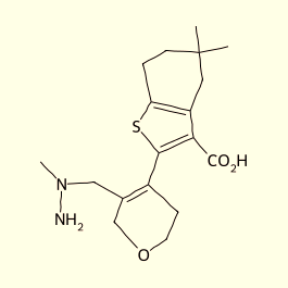 CN(N)CC1=C(c2sc3c(c2C(=O)O)CC(C)(C)CC3)CCOC1